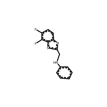 Fc1ccc2nc(CNc3ccccc3)sc2c1F